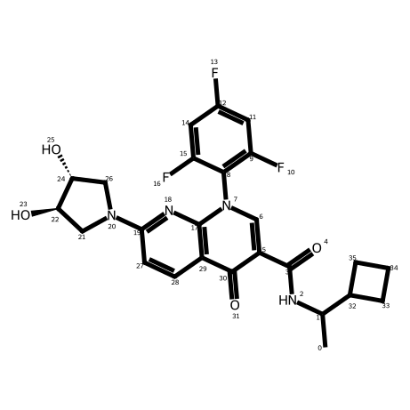 CC(NC(=O)c1cn(-c2c(F)cc(F)cc2F)c2nc(N3C[C@@H](O)[C@H](O)C3)ccc2c1=O)C1CCC1